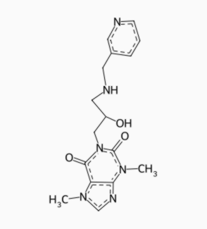 Cn1cnc2c1c(=O)n(CC(O)CNCc1cccnc1)c(=O)n2C